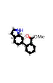 COC(=O)c1ccccc1-c1ccc2cc[nH]c2c1